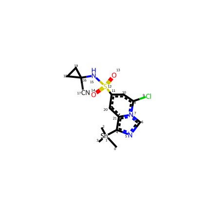 [CH3][Sn]([CH3])([CH3])[c]1ncn2c(Cl)cc(S(=O)(=O)NC3(C#N)CC3)cc12